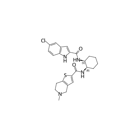 CN1CCc2sc(C(=O)N[C@@H]3CCCC[C@@H]3NC(=O)c3cc4cc(Cl)ccc4[nH]3)cc2C1